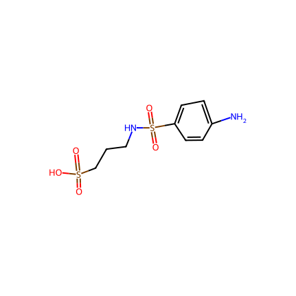 Nc1ccc(S(=O)(=O)NCCCS(=O)(=O)O)cc1